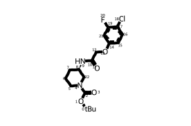 CC(C)(C)OC(=O)N1CCC[C@H](NC(=O)COc2ccc(Cl)c(F)c2)C1